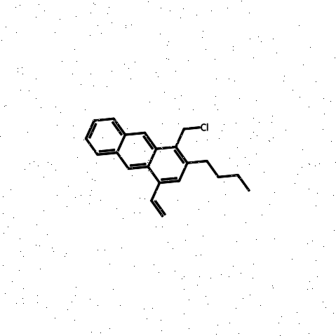 C=Cc1cc(CCCC)c(CCl)c2cc3ccccc3cc12